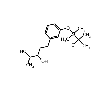 C[C@@H](O)[C@H](O)CCc1cccc(O[Si](C)(C)C(C)(C)C)c1